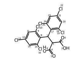 O=C(O)C(C(=O)O)C(c1c(Cl)cc(Cl)cc1Cl)c1c(Cl)cc(Cl)cc1Cl